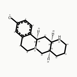 Clc1ccc2c(c1)CCN1C[C@@H]3CCCN[C@@H]3C[C@H]21